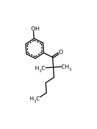 CCCCC(C)(C)C(=O)c1cccc(O)c1